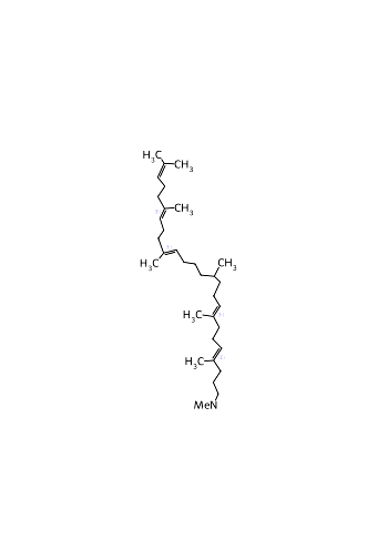 CNCCC/C(C)=C/CC/C(C)=C/CCC(C)CCC/C=C(\C)CC/C=C(\C)CCC=C(C)C